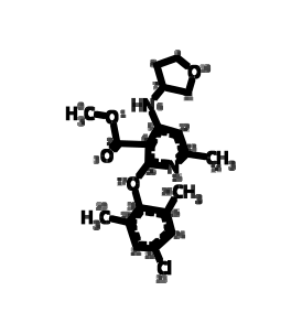 COC(=O)c1c(NC2CCOC2)cc(C)nc1Oc1c(C)cc(Cl)cc1C